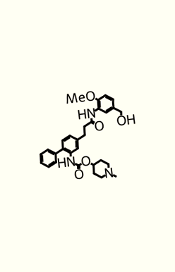 COc1ccc(CO)cc1NC(=O)CCc1ccc(-c2ccccc2)c(NC(=O)OC2CCN(C)CC2)c1